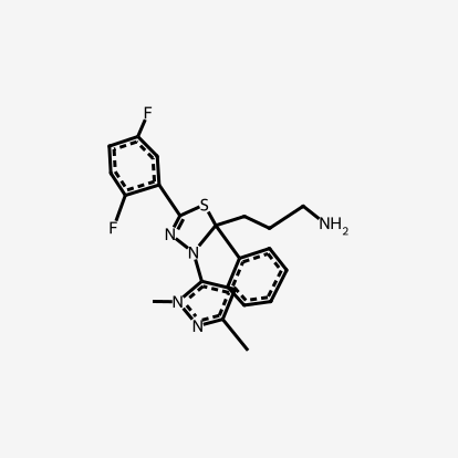 Cc1cc(N2N=C(c3cc(F)ccc3F)SC2(CCCN)c2ccccc2)n(C)n1